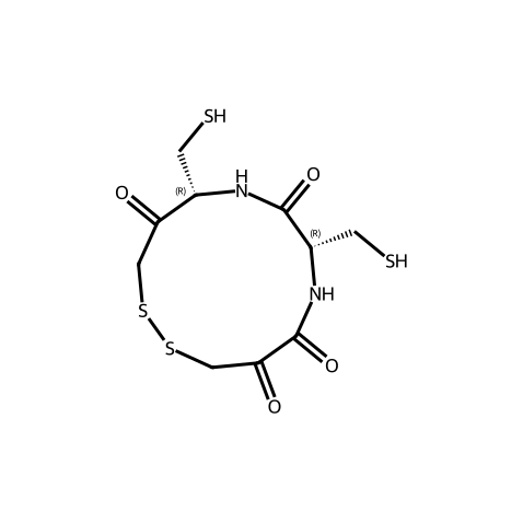 O=C1CSSCC(=O)[C@H](CS)NC(=O)[C@H](CS)NC1=O